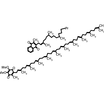 CC(=CCC1=C(C)C(=O)c2ccccc2C1=O)CCCC(C)CCCC(C)CCCC(C)C.COC1=C(OC)C(=O)C(C/C=C(\C)CC/C=C(\C)CC/C=C(\C)CC/C=C(\C)CC/C=C(\C)CC/C=C(\C)CC/C=C(\C)CC/C=C(\C)CC/C=C(\C)CCC=C(C)C)=C(C)C1=O